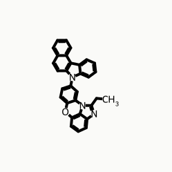 CCc1nc2cccc3c2n1-c1cc(-n2c4ccccc4c4c5ccccc5ccc42)ccc1O3